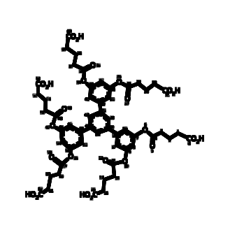 O=C(O)CCCC(=O)Oc1cc(OC(=O)CCCC(=O)O)cc(-c2cc(-c3cc(OC(=O)CCCC(=O)O)cc(OC(=O)CCCC(=O)O)c3)cc(-c3cc(OC(=O)CCCC(=O)O)cc(OC(=O)CCCC(=O)O)c3)c2)c1